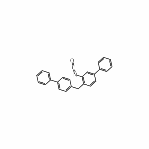 O=C=Nc1cc(-c2ccccc2)ccc1Cc1ccc(-c2ccccc2)cc1